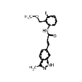 COCc1c(F)cccc1NC(=O)/C=C/c1ccc2c(C)n[nH]c2c1